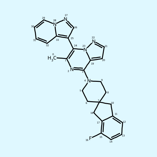 Cc1nc(N2CCC3(CC2)Cc2cccc(F)c2C3)c2ccnn2c1-c1cnn2ccccc12